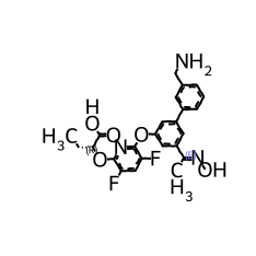 CC[C@@H](Oc1nc(Oc2cc(/C(C)=N/O)cc(-c3cccc(CN)c3)c2)c(F)cc1F)C(=O)O